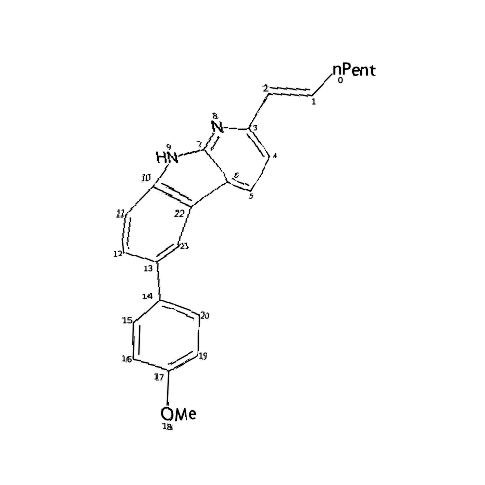 CCCCC/C=C/c1ccc2c(n1)[nH]c1ccc(-c3ccc(OC)cc3)cc12